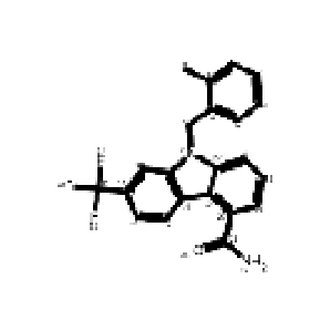 Cc1ccccc1Cn1c2cc(C(F)(F)F)c[c]c2c2c(C(N)=O)cccc21